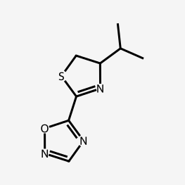 CC(C)C1CSC(c2ncno2)=N1